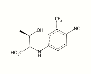 [C-]#[N+]c1ccc(NC(C(=O)O)[C@@H](C)O)cc1C(F)(F)F